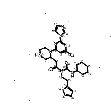 O=C(CC1CNCCN1c1cc(Cl)nc(-n2ccnc2)n1)N(CCc1cccs1)C(=O)NC1CCCCC1